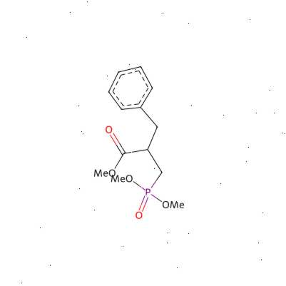 COC(=O)C(Cc1ccccc1)CP(=O)(OC)OC